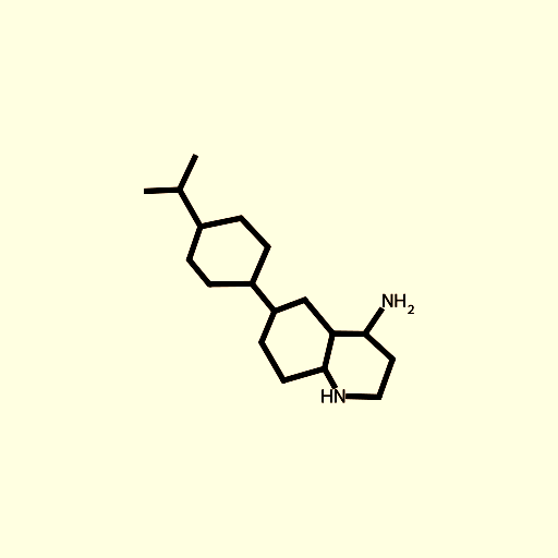 CC(C)C1CCC(C2CCC3NCCC(N)C3C2)CC1